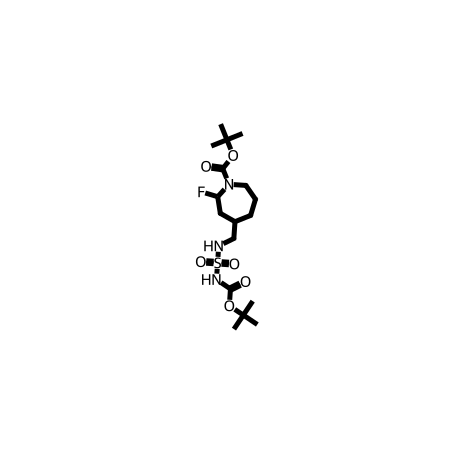 CC(C)(C)OC(=O)NS(=O)(=O)NCC1CCCN(C(=O)OC(C)(C)C)C(F)C1